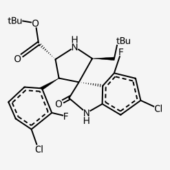 CC(C)(C)C[C@@H]1N[C@@H](C(=O)OC(C)(C)C)[C@H](c2cccc(Cl)c2F)[C@]12C(=O)Nc1cc(Cl)cc(F)c12